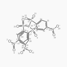 O=[N+]([O-])c1ccc(S(=O)(=O)P(S(=O)(=O)c2ccc([N+](=O)[O-])cc2)S(=O)(=O)c2ccc([N+](=O)[O-])cc2)cc1